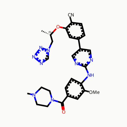 COc1cc(C(=O)N2CCN(C)CC2)ccc1Nc1ncc(-c2ccc(C#N)c(O[C@@H](C)Cn3cnnn3)c2)cn1